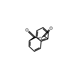 O=c1oc(=O)c2cccc3c1cccc23